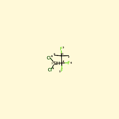 CC(C)(F)C(F)(F)[SiH](Cl)Cl